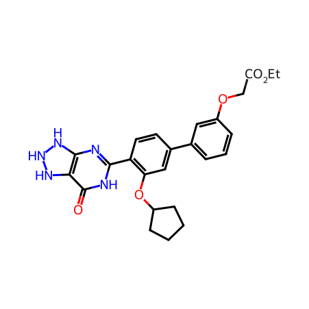 CCOC(=O)COc1cccc(-c2ccc(-c3nc4c(c(=O)[nH]3)NNN4)c(OC3CCCC3)c2)c1